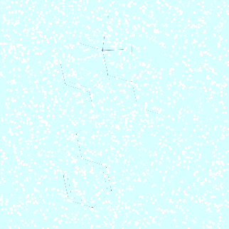 COC(=O)C1C(SCc2ccccc2)=CC=CC1(C)C